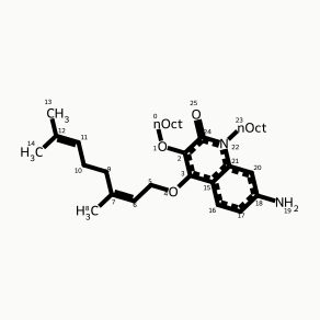 CCCCCCCCOc1c(OCC=C(C)CCC=C(C)C)c2ccc(N)cc2n(CCCCCCCC)c1=O